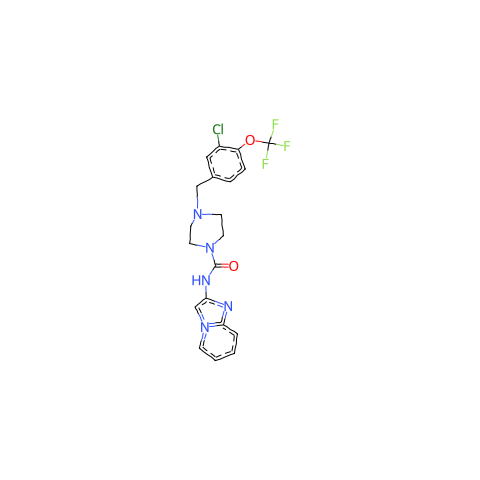 O=C(Nc1cn2ccccc2n1)N1CCN(Cc2ccc(OC(F)(F)F)c(Cl)c2)CC1